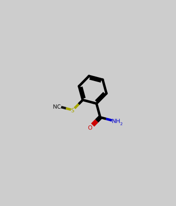 N#CSc1ccccc1C(N)=O